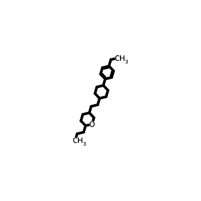 CCCC1CCC(CCC2CCC(c3ccc(CC)cc3)CC2)CO1